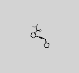 CN(C)C(=O)N1CCCC1C#CCN1CCCC1